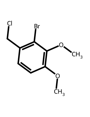 COc1ccc(CCl)c(Br)c1OC